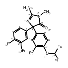 CCc1cc(C2(c3ccc(F)c(C(C)C)c3)N=C(N)N(C)C2=O)ccc1OC(F)F